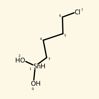 [OH][SnH]([OH])[CH2]CCCCl